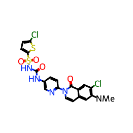 CNc1cc2ccn(-c3ccc(NC(=O)NS(=O)(=O)c4ccc(Cl)s4)cn3)c(=O)c2cc1Cl